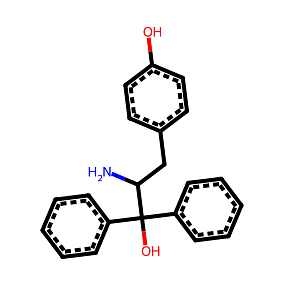 NC(Cc1ccc(O)cc1)C(O)(c1ccccc1)c1ccccc1